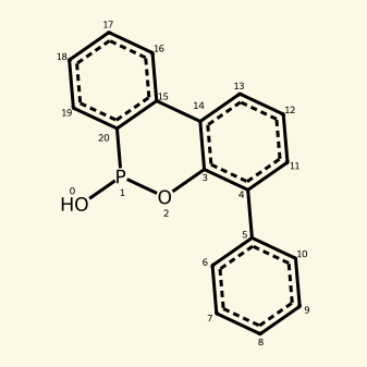 OP1Oc2c(-c3ccccc3)cccc2-c2ccccc21